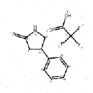 O=C(O)C(F)(F)F.O=C1CC(c2ccccc2)CN1